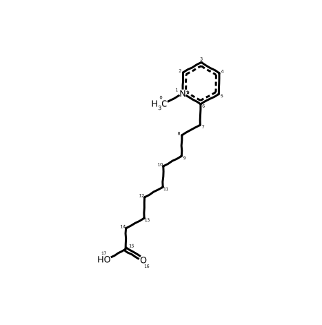 C[n+]1ccccc1CCCCCCCCC(=O)O